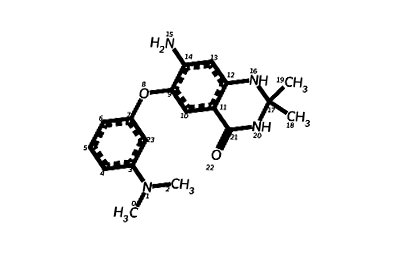 CN(C)c1cccc(Oc2cc3c(cc2N)NC(C)(C)NC3=O)c1